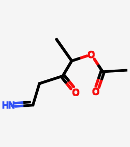 CC(=O)OC(C)C(=O)CC=N